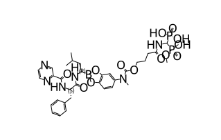 COP(=O)(O)C(NC(=O)CCCOC(=O)N(C)c1ccc2c(c1)OB([C@H](CC(C)C)NC(=O)[C@H](Cc1ccccc1)NC(=O)c1cnccn1)O2)P(=O)(O)O